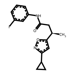 C[C@H](CC(=O)Nc1cccc(I)c1)c1cc(C2CC2)no1